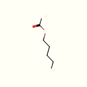 [CH2]OC(=O)OCCCCOC